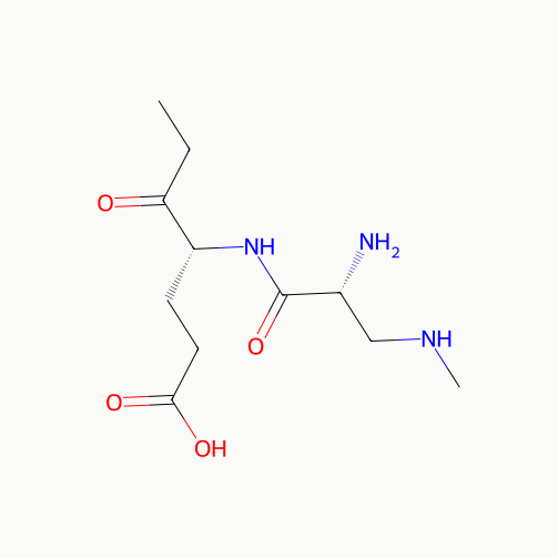 CCC(=O)[C@@H](CCC(=O)O)NC(=O)[C@H](N)CNC